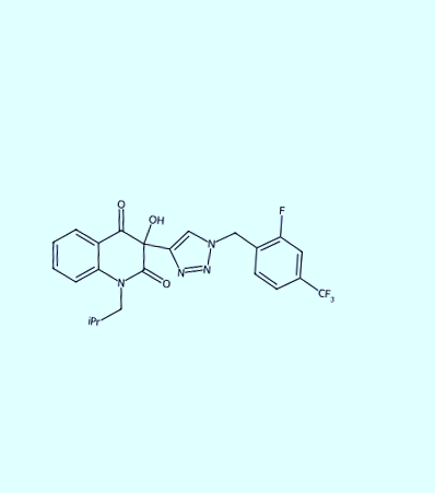 CC(C)CN1C(=O)C(O)(c2cn(Cc3ccc(C(F)(F)F)cc3F)nn2)C(=O)c2ccccc21